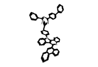 c1ccc(-c2ccc(-c3nc(-c4ccccc4)nc(-c4ccc(-n5c6ccccc6c6c(-c7cc8ccccc8c8ccccc78)nc7ccccc7c65)cc4)n3)cc2)cc1